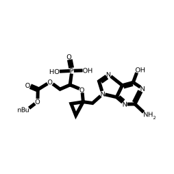 CCCCOC(=O)OCC(OC1(Cn2cnc3c(O)nc(N)nc32)CC1)P(=O)(O)O